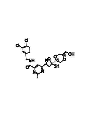 Cc1nc(C(=O)NCc2ccc(Cl)c(Cl)c2)cc(C2=NOC(S)([C@H]3CO[C@H](CO)CO3)C2)n1